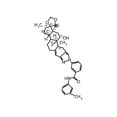 Cc1cccc(NC(=O)c2cccc(-n3cc4c(n3)C=C3CC[C@H]5[C@@H]6C[C@H](C)[C@@]7(OCOC78COCO8)[C@@]6(C)C[C@H](O)[C@]5(F)[C@@]3(C)C4)c2)c1